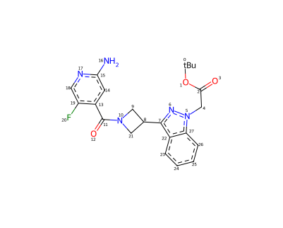 CC(C)(C)OC(=O)Cn1nc(C2CN(C(=O)c3cc(N)ncc3F)C2)c2ccccc21